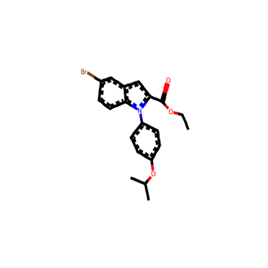 CCOC(=O)c1cc2cc(Br)ccc2n1-c1ccc(OC(C)C)cc1